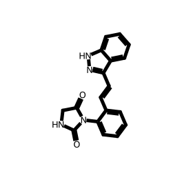 O=C1CNC(=O)N1c1ccccc1C=Cc1n[nH]c2ccccc12